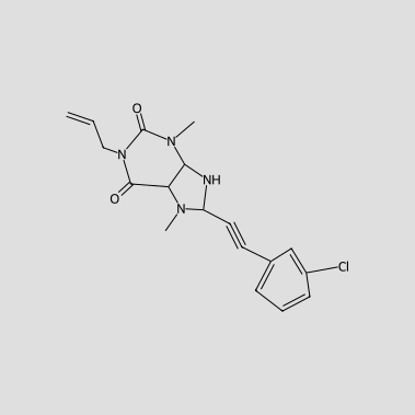 C=CCN1C(=O)C2C(NC(C#Cc3cccc(Cl)c3)N2C)N(C)C1=O